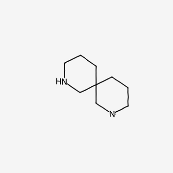 C1C[N]CC2(C1)CCCNC2